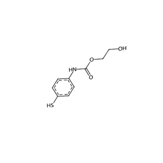 O=C(Nc1ccc(S)cc1)OCCO